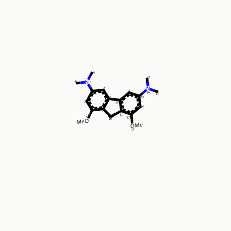 COc1cc(N(C)C)cc2c1Cc1c(OC)cc(N(C)C)cc1-2